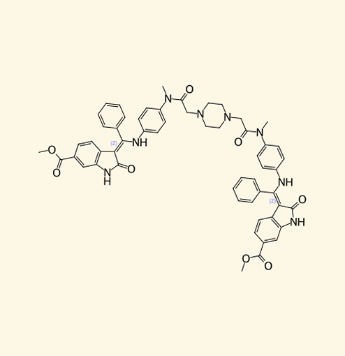 COC(=O)c1ccc2c(c1)NC(=O)/C2=C(\Nc1ccc(N(C)C(=O)CN2CCN(CC(=O)N(C)c3ccc(N/C(=C4\C(=O)Nc5cc(C(=O)OC)ccc54)c4ccccc4)cc3)CC2)cc1)c1ccccc1